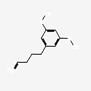 C=CCCCc1cc(OCCC)cc(OCCC)c1